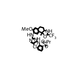 COc1cc2c(cc1Nc1ncc(Cl)c(Nc3ccccc3S(=O)(=O)C(C)C)n1)C(C)(C)C(NC(=O)C(F)(F)F)CC2